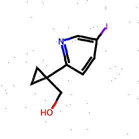 OCC1(c2ccc(I)cn2)CC1